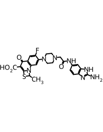 CC1Sc2c(C(=O)O)c(=O)c3cc(F)c(N4CCN(CC(=O)Nc5ccc6nc(N)[nH]c6c5)CC4)cc3n21